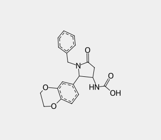 O=C(O)NC1CC(=O)N(Cc2ccccc2)C1c1ccc2c(c1)OCCO2